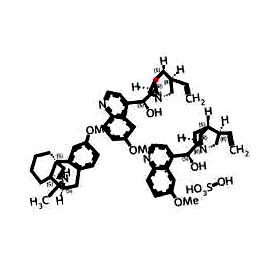 C=C[C@H]1C[N@]2CC[C@H]1C[C@@H]2[C@@H](O)c1ccnc2ccc(OC)cc12.C=C[C@H]1C[N@]2CC[C@H]1C[C@@H]2[C@@H](O)c1ccnc2ccc(OC)cc12.COc1ccc2c(c1)[C@]13CCCC[C@@H]1[C@H](C2)N(C)CC3.O=S(=O)(O)O